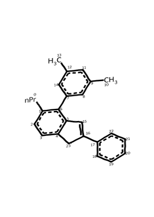 CCCc1ccc2c(c1-c1cc(C)cc(C)c1)C=C(c1ccccc1)[CH]2